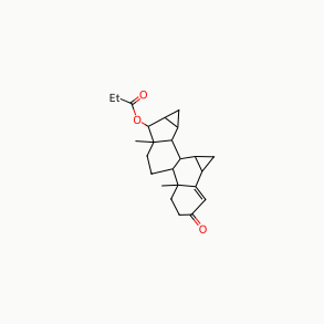 CCC(=O)OC1C2CC2C2C3C4CC4C4=CC(=O)CCC4(C)C3CCC12C